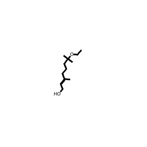 CCOC(C)(C)CCC/C(C)=C/CO